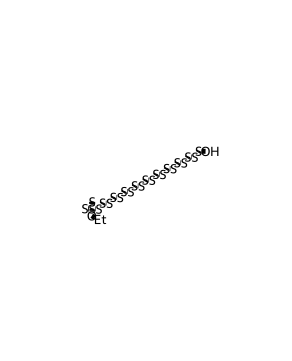 CCOS(=S)(=S)SSSSSSSSSSSSSSSSSSSSO